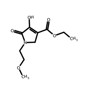 CCOC(=O)C1=C(O)C(=O)N(CCOC)C1